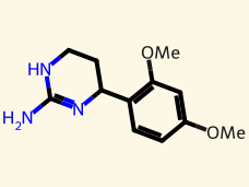 COc1ccc(C2CCNC(N)=N2)c(OC)c1